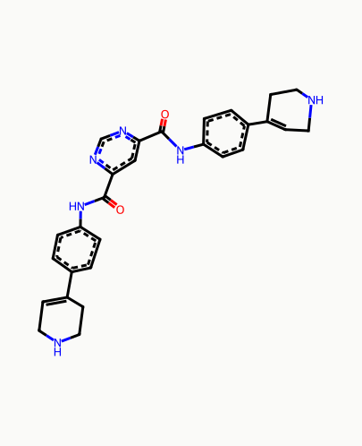 O=C(Nc1ccc(C2=CCNCC2)cc1)c1cc(C(=O)Nc2ccc(C3=CCNCC3)cc2)ncn1